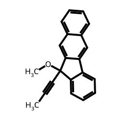 CC#CC1(OC)c2ccccc2-c2cc3ccccc3cc21